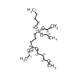 CCCCO[Si](CC[CH][SiH](OCC)OCCCOC)(OCC)OCC